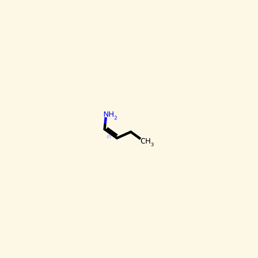 CC/C=C\N